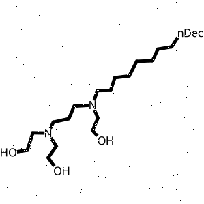 CCCCCCCCCCCCCCCCCCN(C[CH]CN(CCO)CCO)CCO